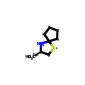 O=C(O)[C@@H]1CSC2(CCCC2)N1